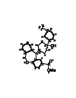 COC(=O)c1ccc2c(c1)C(N1CCC(O)(c3cccc(C(F)(F)F)c3)CC1)c1ccccc1CO2